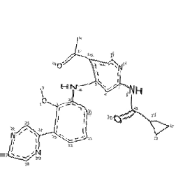 COc1c(Nc2cc(NC(=O)C3CC3)ncc2C(C)=O)cccc1-c1cnccn1